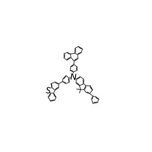 CC1(C)c2cc(-c3ccccc3)ccc2-c2ccc(N(c3ccc(-c4ccc5sc6ccccc6c5c4)cc3)c3ccc(-c4cc5ccccc5c5ccccc45)cc3)cc21